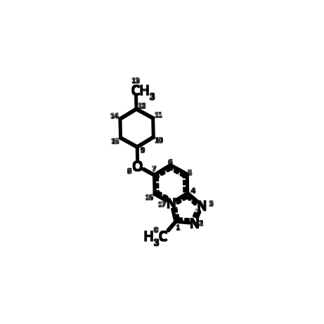 Cc1nnc2ccc(OC3CCC(C)CC3)cn12